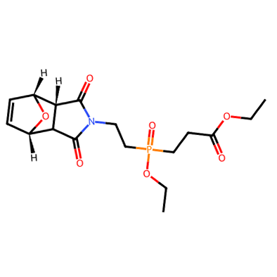 CCOC(=O)CCP(=O)(CCN1C(=O)C2[C@@H]3C=C[C@@H](O3)[C@@H]2C1=O)OCC